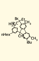 CCCCCCc1cc(C)cc(C2(C)c3cc(C(C)CC)c(C)cc3-c3cc(C)c(C(C)(Br)CC)cc32)c1